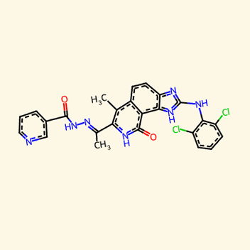 CC(=NNC(=O)c1cccnc1)c1[nH]c(=O)c2c(ccc3nc(Nc4c(Cl)cccc4Cl)[nH]c32)c1C